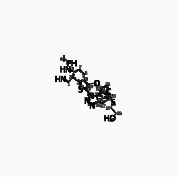 N=Cc1c(NPI)ccc2c(Oc3ccc(SCCO)cc3)c(-n3nnc4ccccc43)sc12